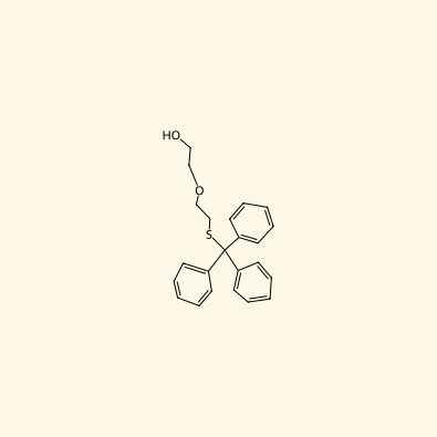 OCCOCCSC(c1ccccc1)(c1ccccc1)c1ccccc1